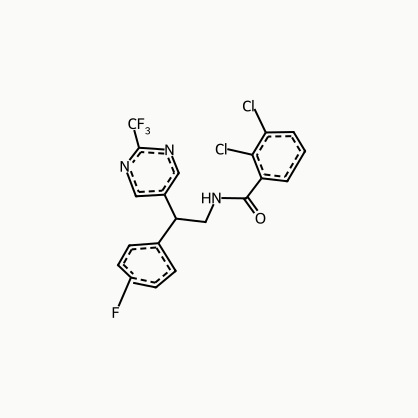 O=C(NCC(c1ccc(F)cc1)c1cnc(C(F)(F)F)nc1)c1cccc(Cl)c1Cl